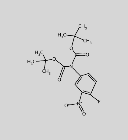 CC(C)(C)OC(=O)N(C(=O)OC(C)(C)C)c1ccc(F)c([N+](=O)[O-])c1